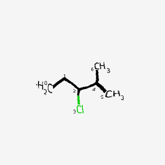 [CH2]CC(Cl)C(C)C